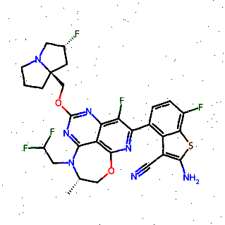 C[C@H]1COc2nc(-c3ccc(F)c4sc(N)c(C#N)c34)c(F)c3nc(OC[C@@]45CCCN4C[C@H](F)C5)nc(c23)N1CC(F)F